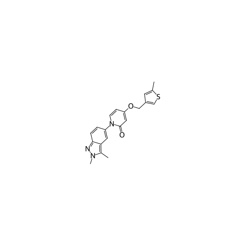 Cc1cc(COc2ccn(-c3ccc4nn(C)c(C)c4c3)c(=O)c2)cs1